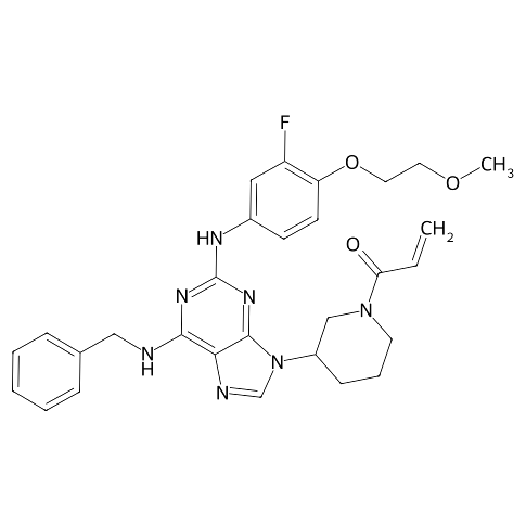 C=CC(=O)N1CCCC(n2cnc3c(NCc4ccccc4)nc(Nc4ccc(OCCOC)c(F)c4)nc32)C1